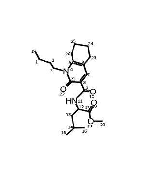 CCCCn1c2c(cc(C(=O)NC(CC(C)C)C(=O)OC)c1=O)CCCC2